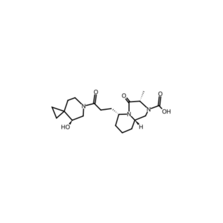 C[C@H]1C(=O)N2[C@@H](CCC(=O)N3CCC4(CC4)[C@H](O)C3)CCC[C@H]2CN1C(=O)O